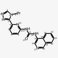 CC(C)n1cnnc1-c1cccc(NC(=O)Nc2cncc3ccccc23)n1